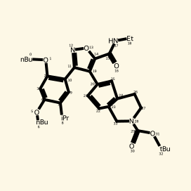 CCCCOc1cc(OCCCC)c(C(C)C)cc1-c1noc(C(=O)NCC)c1-c1ccc2c(c1)CCN(C(=O)OC(C)(C)C)C2